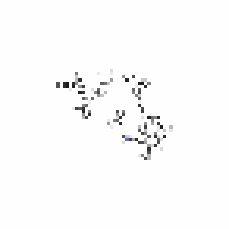 COC(=O)CC/C(C)=C/Cc1c(OC)c(C)c2c(c1OC(=O)CCCCOC(=O)C(C)CCC(C)CC(=O)OC(COC(C)=O)COC(=O)O)C(=O)OC2